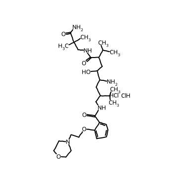 CC(C)C(CNC(=O)c1ccccc1OCCN1CCOCC1)CC(N)C(O)CC(C(=O)NCC(C)(C)C(N)=O)C(C)C.Cl.Cl